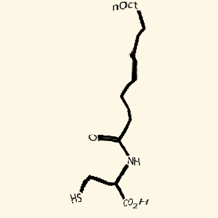 CCCCCCCCCCCCCC(=O)NC(CS)C(=O)O